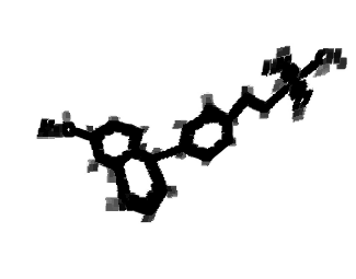 COc1ccc2c(-c3ccc(CCS(C)(=N)=O)cc3)ccnc2c1